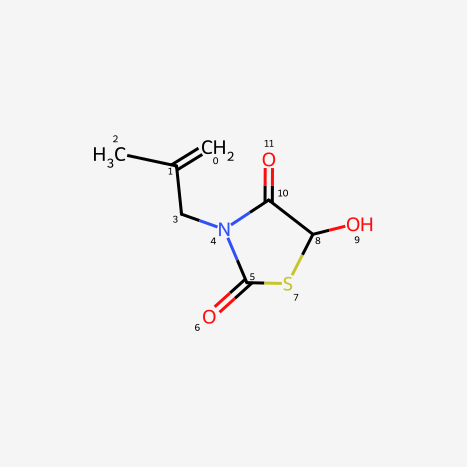 C=C(C)CN1C(=O)SC(O)C1=O